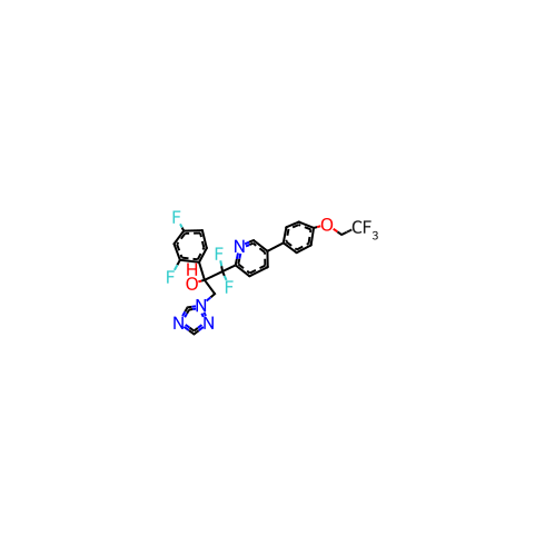 OC(Cn1cncn1)(c1ccc(F)cc1F)C(F)(F)c1ccc(-c2ccc(OCC(F)(F)F)cc2)cn1